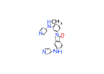 Cc1ccc(N2Cc3cc(Nc4ccncc4)ccc3C2=O)cc1Nc1ccncc1